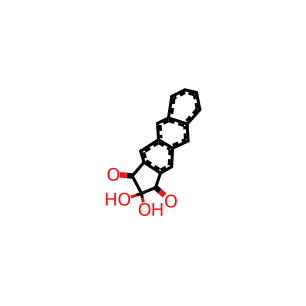 O=C1c2cc3cc4ccccc4cc3cc2C(=O)C1(O)O